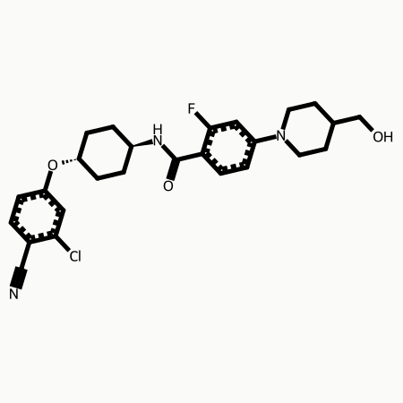 N#Cc1ccc(O[C@H]2CC[C@H](NC(=O)c3ccc(N4CCC(CO)CC4)cc3F)CC2)cc1Cl